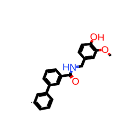 COc1cc(CNC(=O)c2cccc(-c3c[c]ccc3)c2)ccc1O